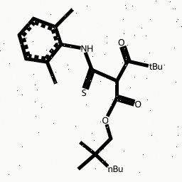 CCCCC(C)(C)COC(=O)C(C(=O)C(C)(C)C)C(=S)Nc1c(C)cccc1C